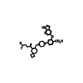 C=C(CCC(F)F)C1=C(CN2CCN(c3ccc(C(=O)O)c(Oc4cnc5[nH]ccc5c4)c3)CC2)CCC2(CCC2)C1